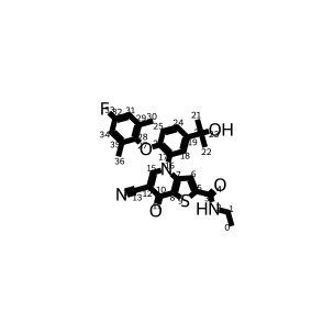 CCNC(=O)c1cc2c(s1)c(=O)c(C#N)cn2-c1cc(C(C)(C)O)ccc1Oc1c(C)cc(F)cc1C